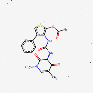 CCC(=O)Oc1scc(-c2ccccc2)c1NC(=O)N[C@H]1C(=O)C(C)=CN(C)C1=O